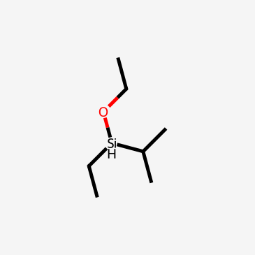 CCO[SiH](CC)C(C)C